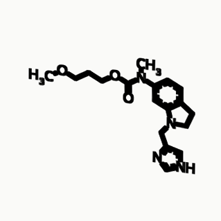 COCCCOC(=O)N(C)c1ccc2c(c1)N(Cc1c[nH]cn1)CC2